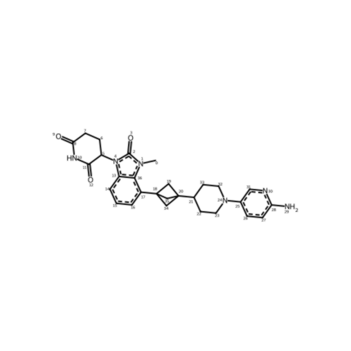 Cn1c(=O)n(C2CCC(=O)NC2=O)c2cccc(C34CC(C5CCN(c6ccc(N)nc6)CC5)(C3)C4)c21